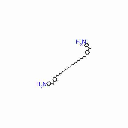 CC(c1ccc(N)cc1)c1ccc(CCCCCCCCCCCCCCCCCCCCc2ccc(C(C)c3ccc(N)cc3)cc2)cc1